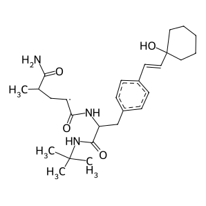 CC(C[CH]C(=O)NC(Cc1ccc(C=CC2(O)CCCCC2)cc1)C(=O)NC(C)(C)C)C(N)=O